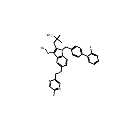 Cc1cnc(COc2ccc3c(c2)c(SC(C)(C)C)c(CC(C)(C)C(=O)O)n3Cc2ccc(-c3ncccc3F)cc2)cn1